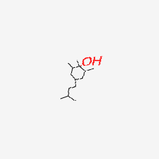 CC(C)CCC1CC(C)C(C)(O)C(C)C1